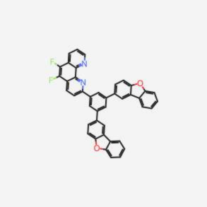 Fc1c(F)c2ccc(-c3cc(-c4ccc5oc6ccccc6c5c4)cc(-c4ccc5oc6ccccc6c5c4)c3)nc2c2ncccc12